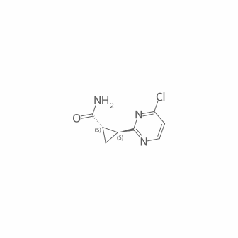 NC(=O)[C@H]1C[C@@H]1c1nccc(Cl)n1